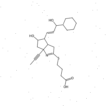 CC#CC12CC(O)C(C=CC(O)C3CCCCC3)C1CC(SCCCC(=O)O)=N2